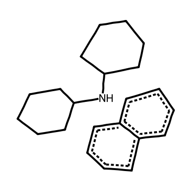 C1CCC(NC2CCCCC2)CC1.c1ccc2ccccc2c1